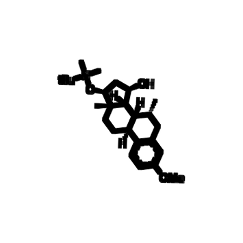 COc1ccc2c(c1)C[C@@H](C)[C@H]1[C@H]3[C@H](O)C[C@H](O[Si](C)(C)C(C)(C)C)[C@@]3(C)CC[C@H]21